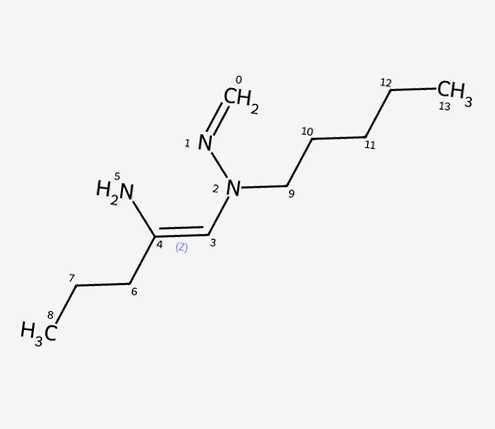 C=NN(/C=C(\N)CCC)CCCCC